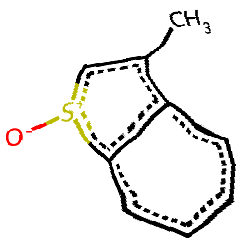 Cc1c[s+]([O-])c2ccccc12